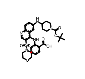 CC(C)(C)OC(=O)N1CCC(Nc2ccc3ncc(S(=O)(=O)N4CCOCC4)c(Nc4ccccc4C(=O)O)c3c2)CC1